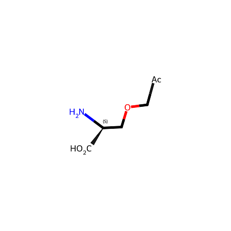 CC(=O)COC[C@H](N)C(=O)O